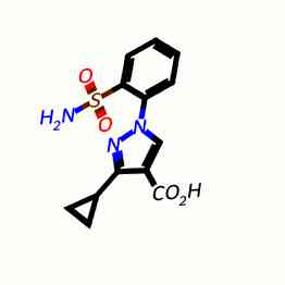 NS(=O)(=O)c1ccccc1-n1cc(C(=O)O)c(C2CC2)n1